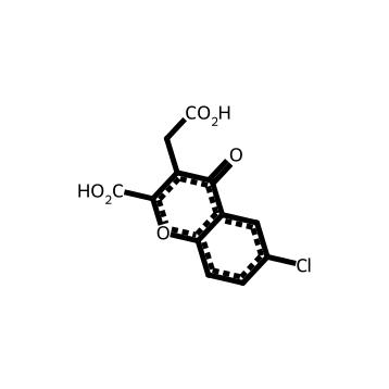 O=C(O)Cc1c(C(=O)O)oc2ccc(Cl)cc2c1=O